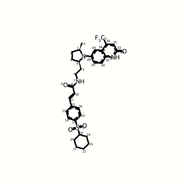 C[C@@H]1CC[C@H](CCNC(=O)C=Cc2ccc(S(=O)(=O)C3CCCCC3)cc2)N1c1ccc2[nH]c(=O)cc(C(F)(F)F)c2c1